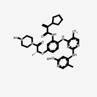 C=C(C(=O)Nc1cc(O[C@H](C)C(=O)N2CCN(C(C)=O)CC2)ccc1Nc1nc(Nc2cc(OC)ncc2C)ncc1C(F)(F)F)C1CCCC1